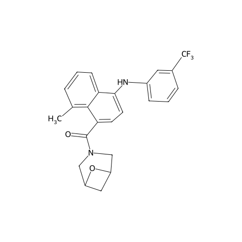 Cc1cccc2c(Nc3cccc(C(F)(F)F)c3)ccc(C(=O)N3CC4CC(C3)O4)c12